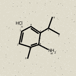 Cc1cccc(C(C)C)c1N.Cl